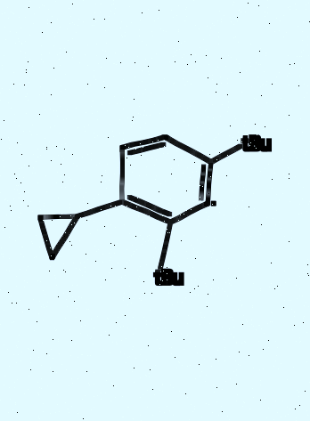 CC(C)(C)c1[c]c(C(C)(C)C)c(C2CC2)cc1